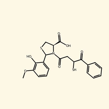 COc1cccc(C2SC[C@@H](C(=O)O)N2C(=O)CC(S)C(=O)c2ccccc2)c1O